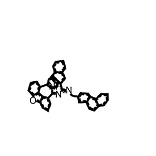 N/C(=N\C(=N/Cc1ccc2c(ccc3ccccc32)c1)c1ccc2ccccc2c1)c1cccc2oc3cccc(-c4ccccc4)c3c12